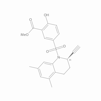 C#C[C@H]1CCc2c(C)cc(C)cc2N1S(=O)(=O)c1ccc(O)c(C(=O)OC)c1